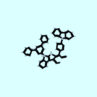 C=C/C(c1ccc(-n2c3ccccc3c3ccccc32)cc1)=c1/oc2c(/c1=C/C)c1ccccc1n2-c1cc(-c2ccccc2)cc(-c2ccccc2)c1